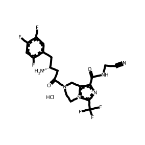 Cl.N#CCNC(=O)c1nc(C(F)(F)F)n2c1CN(C(=O)C[C@H](N)Cc1cc(F)c(F)cc1F)CC2